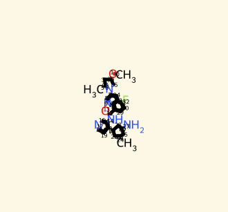 CO[C@H]1C[C@H](C)N(c2cnc3c(C(=O)Nc4cnccc4[C@@H]4C[C@H](C)C[C@H](N)C4)ccc(F)c3c2)C1